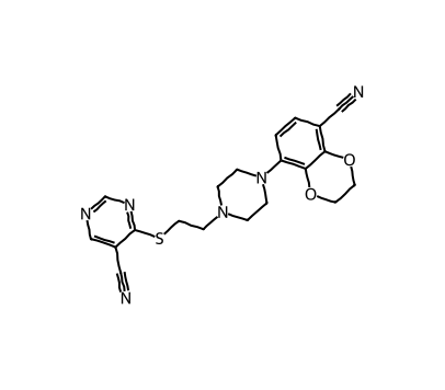 N#Cc1cncnc1SCCN1CCN(c2ccc(C#N)c3c2OCCO3)CC1